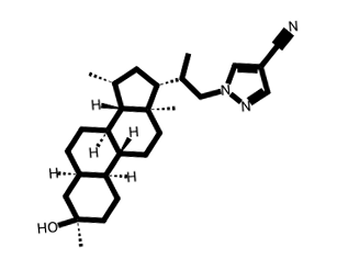 CC(Cn1cc(C#N)cn1)[C@H]1C[C@@H](C)[C@H]2[C@@H]3CC[C@@H]4C[C@](C)(O)CC[C@@H]4[C@H]3CC[C@@]21C